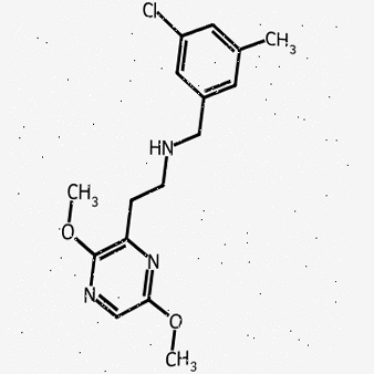 COc1cnc(OC)c(CCNCc2cc(C)cc(Cl)c2)n1